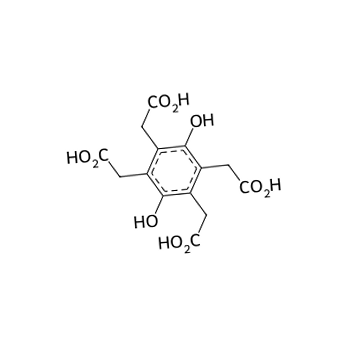 O=C(O)Cc1c(O)c(CC(=O)O)c(CC(=O)O)c(O)c1CC(=O)O